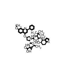 C=CC1C[C@]1(NC(=O)[C@@H]1C[C@@H](Oc2cc(-c3ccccc3)nc3cc(OC)ccc23)CN1C(=O)NC(C(=O)NC1c2ccsc2CC[C@H]1O)C(C)(C)C)C(=O)O